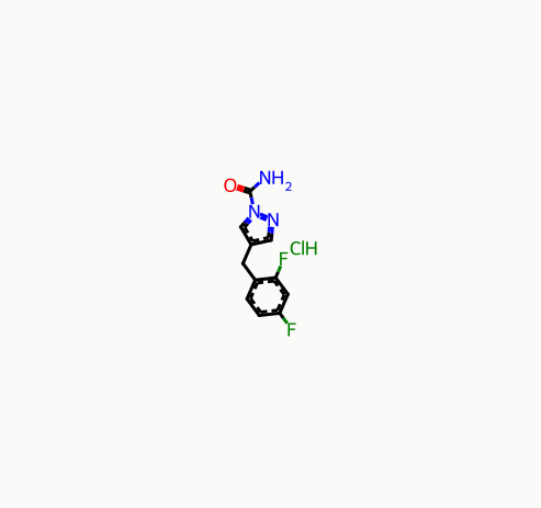 Cl.NC(=O)n1cc(Cc2ccc(F)cc2F)cn1